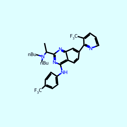 CCCCN(CCCC)C(C)c1nc(Nc2ccc(C(F)(F)F)cc2)c2ccc(-c3ncccc3C(F)(F)F)cc2n1